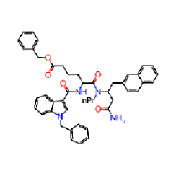 CCCN(C(=O)[C@H](CCCC(=O)OCc1ccccc1)NC(=O)c1cn(Cc2ccccc2)c2ccccc12)[C@H](CC(N)=O)Cc1ccc2ccccc2c1